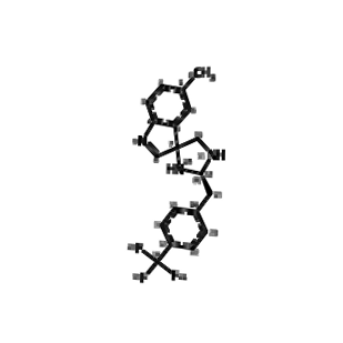 Cc1ccc2c(c1)C1(C=N2)CN[C@@H](Cc2ccc(C(F)(F)F)cc2)N1